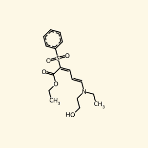 CCOC(=O)C(=CC=CN(CC)CCO)S(=O)(=O)c1ccccc1